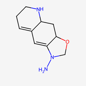 NN1COC2CC3NCCC=C3C=C21